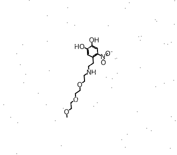 COCCOCCOCCNCCc1cc(O)c(O)cc1[N+](=O)[O-]